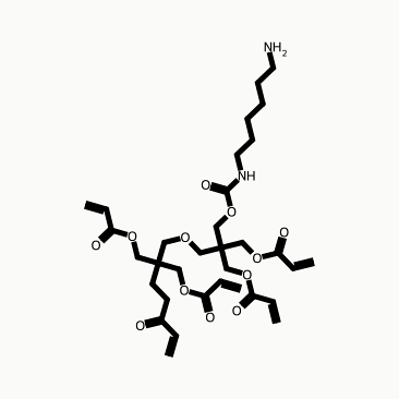 C=CC(=O)CCC(COCC(COC(=O)C=C)(COC(=O)C=C)COC(=O)NCCCCCCN)(COC(=O)C=C)COC(=O)C=C